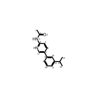 CC(=O)Nc1ccc(-c2cccc(C(C)C)c2)cn1